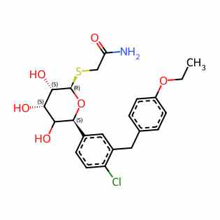 CCOc1ccc(Cc2cc([C@@H]3O[C@H](SCC(N)=O)[C@@H](O)[C@@H](O)C3O)ccc2Cl)cc1